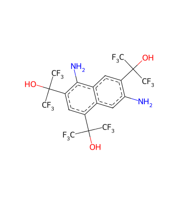 Nc1cc2c(C(O)(C(F)(F)F)C(F)(F)F)cc(C(O)(C(F)(F)F)C(F)(F)F)c(N)c2cc1C(O)(C(F)(F)F)C(F)(F)F